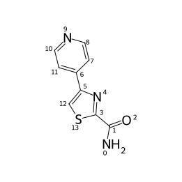 NC(=O)c1nc(-c2ccncc2)cs1